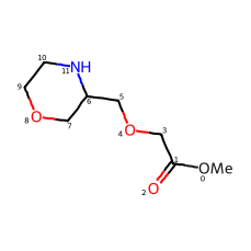 COC(=O)COCC1COCCN1